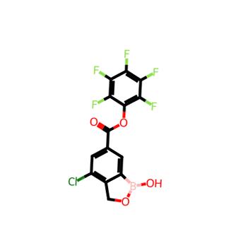 O=C(Oc1c(F)c(F)c(F)c(F)c1F)c1cc(Cl)c2c(c1)B(O)OC2